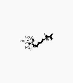 C=C(C)C(=O)NCCCC[C@@H](C(=O)O)N(CC(=O)O)CC(=O)O